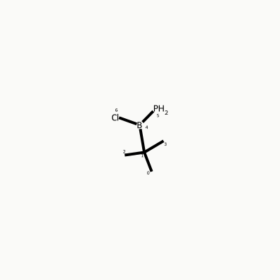 CC(C)(C)B(P)Cl